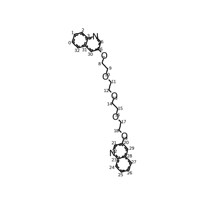 c1ccc2ncc(OCCOCCOCCOCCOc3cnc4ccccc4c3)cc2c1